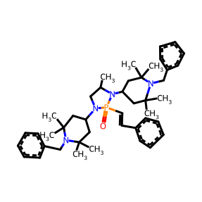 CC1CN(C2CC(C)(C)N(Cc3ccccc3)C(C)(C)C2)P(=O)(C=Cc2ccccc2)N1C1CC(C)(C)N(Cc2ccccc2)C(C)(C)C1